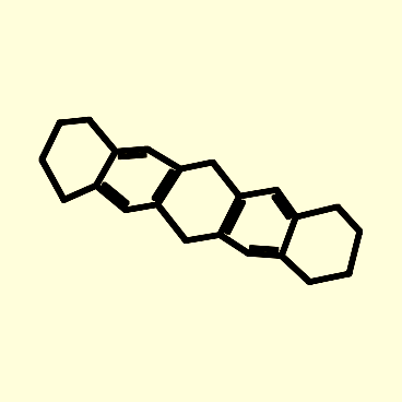 c1c2c(cc3c1Cc1cc4c(cc1C3)CCCC4)CCCC2